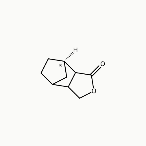 O=C1OCC2C3CC[C@H](C3)C12